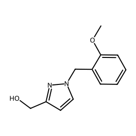 COc1ccccc1Cn1ccc(CO)n1